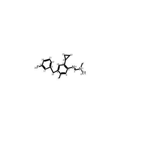 CCN(C)C=Nc1cc(C)c(Cc2cccc(F)c2)cc1C1CC1